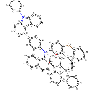 c1ccc(-n2c3ccccc3c3c(-c4ccc(N(c5ccc6c(c5)C5(c7ccccc7S6)c6ccccc6[Si](c6ccccc6)(c6ccccc6)c6ccccc65)c5cccc6ccccc56)cc4)cccc32)cc1